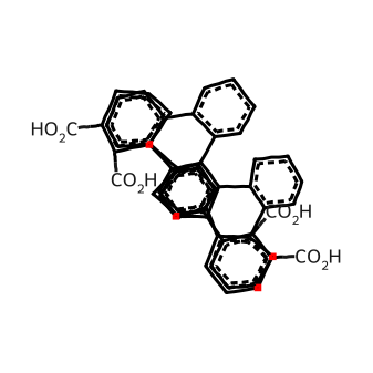 O=C(O)c1cccc(-c2ccccc2-c2ccccc2-c2ccccc2-c2ccc(-c3ccccc3-c3ccccc3-c3ccccc3-c3cccc(C(=O)O)c3C(=O)O)cc2)c1C(=O)O